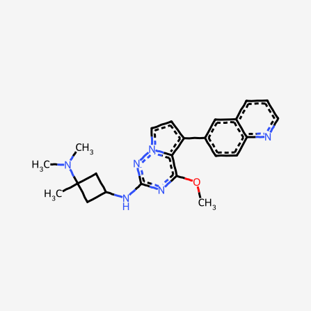 COc1nc(NC2CC(C)(N(C)C)C2)nn2ccc(-c3ccc4ncccc4c3)c12